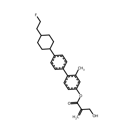 C=C(CO)C(=O)Oc1ccc(-c2ccc(C3CCC(CCF)CC3)cc2)c(C)c1